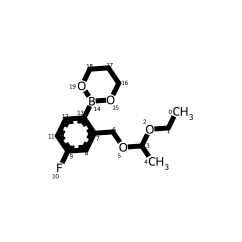 CCOC(C)OCc1cc(F)ccc1B1OCCCO1